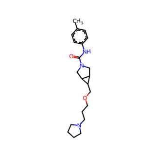 Cc1ccc(NC(=O)N2CC3C(COCCCN4CCCC4)C3C2)cc1